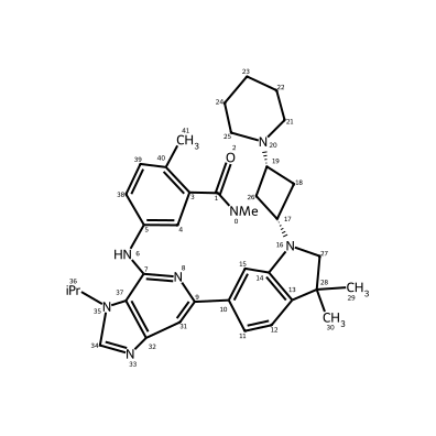 CNC(=O)c1cc(Nc2nc(-c3ccc4c(c3)N([C@H]3C[C@@H](N5CCCCC5)C3)CC4(C)C)cc3ncn(C(C)C)c23)ccc1C